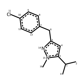 CC(C)c1cc(Cc2ccc(Cl)cc2)nn1C